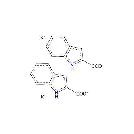 O=C([O-])c1cc2ccccc2[nH]1.O=C([O-])c1cc2ccccc2[nH]1.[K+].[K+]